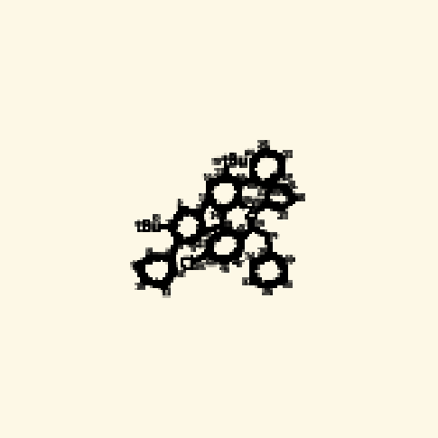 CC(C)(C)c1cc2c(cc1-c1ccccc1)Cc1c-2cc(C(C)(C)C)c(-c2ccccc2)[c]1/[Zr]([C]1=CC=CC1)=[C](/Cc1ccccc1)c1ccc(Cl)cc1